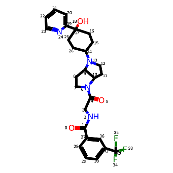 O=C(NCC(=O)N1CCC2C1CCN2C1CCC(O)(c2ccccn2)CC1)c1cccc(C(F)(F)F)c1